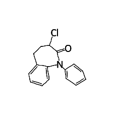 O=C1C(Cl)CCc2ccccc2N1c1ccccc1